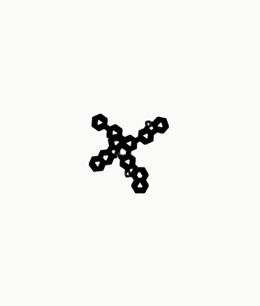 c1ccc(-c2ccc(-c3cc(-c4ccc5c(c4)oc4ccccc45)cc(-c4cc5c(cc4-n4c6ccccc6c6cc7ccccc7cc64)oc4c6ccccc6ccc54)c3)cc2)cc1